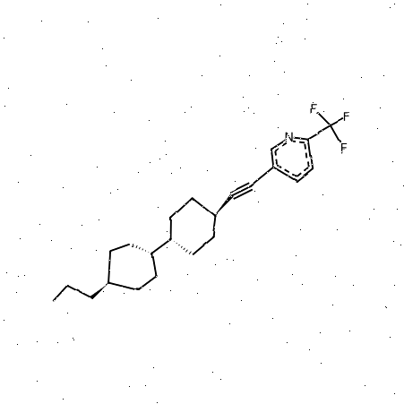 CCC[C@H]1CC[C@H]([C@H]2CC[C@H](C#Cc3ccc(C(F)(F)F)nc3)CC2)CC1